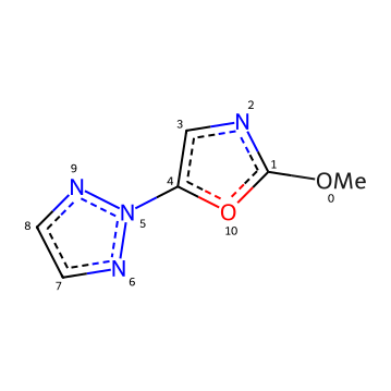 COc1ncc(-n2nccn2)o1